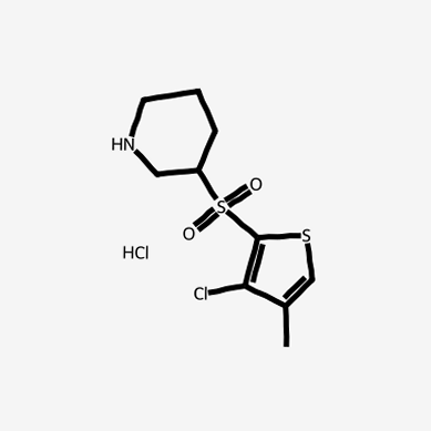 Cc1csc(S(=O)(=O)C2CCCNC2)c1Cl.Cl